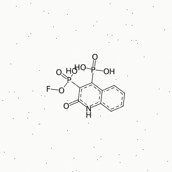 O=c1[nH]c2ccccc2c(P(=O)(O)O)c1P(=O)(O)OF